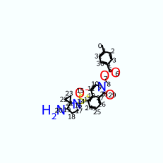 Cc1ccc(C(=O)OCn2ccc3c([S+]([O-])N4CCC(N)C45CC5)cccc3c2=O)cc1